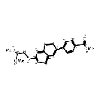 COC(=O)c1ccc(-c2ccc3nc(SCC(OC)OC)ccc3c2)cc1